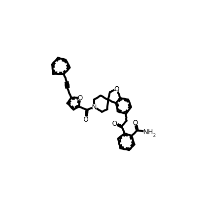 NC(=O)c1ccccc1C(=O)Cc1ccc2c(c1)C1(CCN(C(=O)c3ccc(C#Cc4ccccc4)o3)CC1)CO2